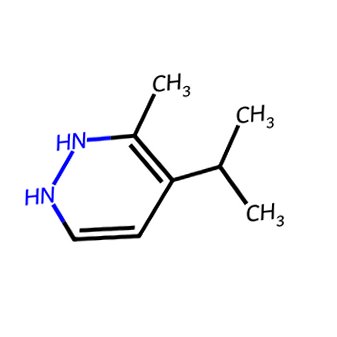 CC1=C(C(C)C)C=CNN1